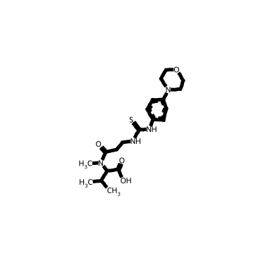 CC(C)C(C(=O)O)N(C)C(=O)CCNC(=S)Nc1ccc(N2CCOCC2)cc1